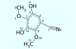 COc1c(O)cc(C#N)c(OC)c1O